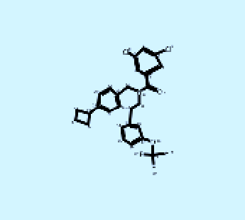 O=C(c1cc(Cl)cc(Cl)c1)N(CCc1cccc(OC(F)(F)F)c1)Cc1ccc(C2CCC2)cc1